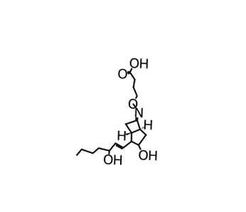 CCCCC(O)C=CC1C(O)C[C@@H]2C(=NOCCCC(=O)O)C[C@@H]12